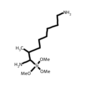 CO[Si](OC)(OC)C(N)C(C)CCCCCCN